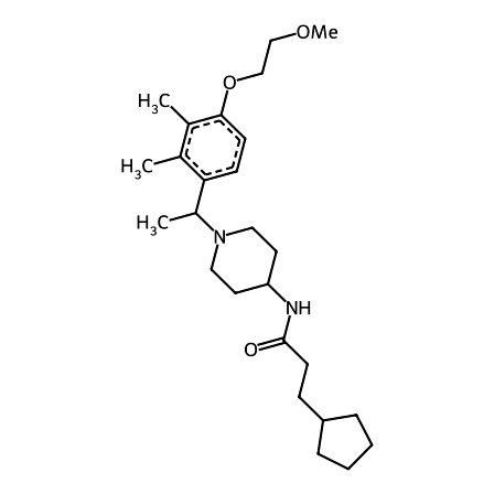 COCCOc1ccc(C(C)N2CCC(NC(=O)CCC3CCCC3)CC2)c(C)c1C